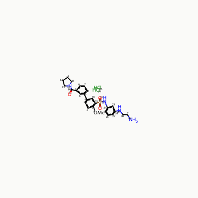 COc1ccc(-c2cccc(C(=O)N3CCCC3)c2)cc1S(=O)(=O)Nc1cccc(NCCN)c1.Cl.Cl